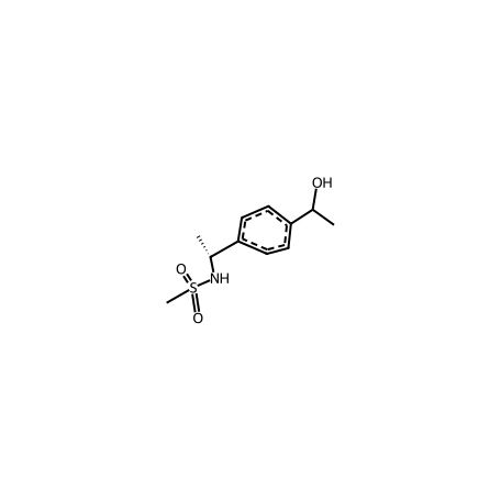 CC(O)c1ccc([C@@H](C)NS(C)(=O)=O)cc1